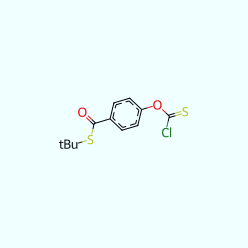 CC(C)(C)SC(=O)c1ccc(OC(=S)Cl)cc1